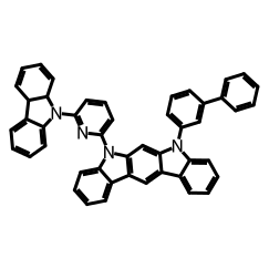 C1=CC2c3ccccc3N(c3cccc(-n4c5ccccc5c5cc6c7ccccc7n(-c7cccc(-c8ccccc8)c7)c6cc54)n3)C2C=C1